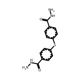 NNC(=O)c1ccc(Sc2ccc(C(=O)NN)cc2)cc1